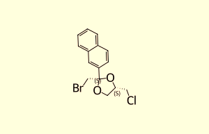 ClC[C@@H]1CO[C@@](CBr)(c2ccc3ccccc3c2)O1